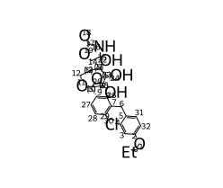 CCOc1ccc(Cc2cc([C@]34OC[C@](C5CNC(=O)O5)(O3)[C@@H](O)[C@H](O)[C@H]4O)ccc2Cl)cc1